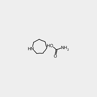 C1CCCNCC1.NC(=O)O